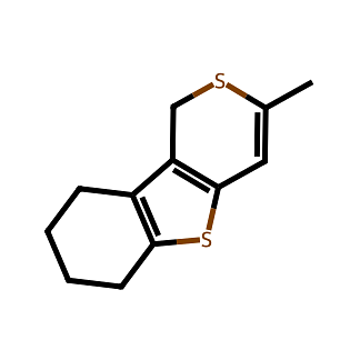 CC1=Cc2sc3c(c2CS1)CCCC3